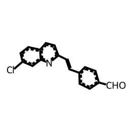 O=Cc1ccc(C=Cc2ccc3ccc(Cl)cc3n2)cc1